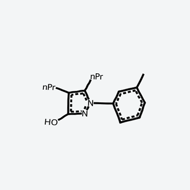 CCCc1c(O)nn(-c2cccc(C)c2)c1CCC